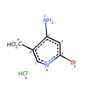 Cl.Nc1cc(Br)ncc1C(=O)O